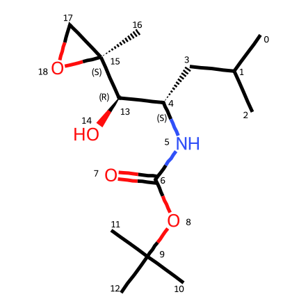 CC(C)C[C@H](NC(=O)OC(C)(C)C)[C@@H](O)[C@]1(C)CO1